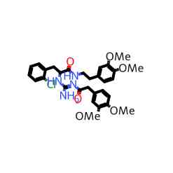 COc1ccc(CCNC(=O)C(Cc2ccccc2Cl)NC(N)=NC(=O)Cc2ccc(OC)c(OC)c2)cc1OC